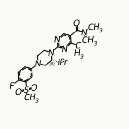 Cc1nc(N2CCN(c3ccc(F)c(S(C)(=O)=O)c3)C[C@H]2C(C)C)ncc1C(=O)N(C)C